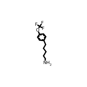 NCCCCCc1ccc(OC(F)(F)F)cc1